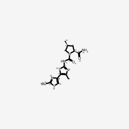 Cc1nc(NC(=O)N2C[C@@H](C)C[C@H]2C(N)=O)sc1-c1csc(C(C)(C)C)n1